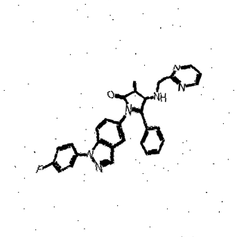 CC1C(=O)N(c2ccc3c(cnn3-c3ccc(F)cc3)c2)C(c2ccccc2)C1NCc1ncccn1